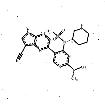 CN(C)c1ncc(-c2cnc3[nH]cc(C#N)c3n2)c(N([C@H]2CCCNC2)S(C)(=O)=O)n1